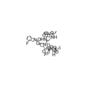 C=CC(=O)NCC[C@H](NC(=O)OC(C)(C)C)C(=O)N1C[C@H](OC(=O)N2Cc3cccc(F)c3C2)CC1C(=O)N[C@]1(C(=O)NS(=O)(=O)C2CC2)C[C@H]1C=C